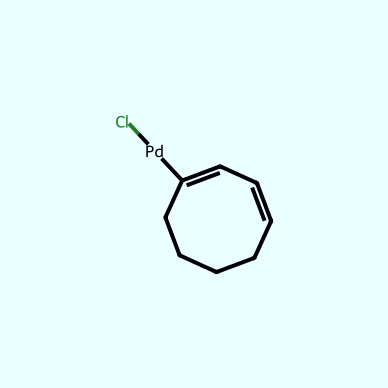 [Cl][Pd][C]1=CC=CCCCC1